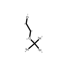 [2H]C([2H])([2H])OCC[O]